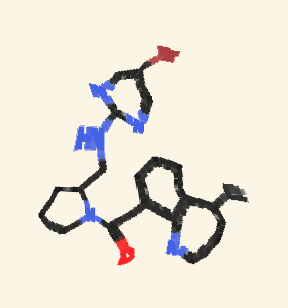 CCc1ccnc2c(C(=O)N3CCCC3CNc3ncc(Br)cn3)cccc12